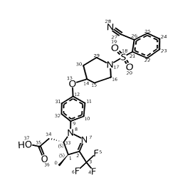 C[C@@H]1C(C(F)(F)F)=NN(c2ccc(OC3CCN(S(=O)(=O)c4ccccc4C#N)CC3)cc2)[C@H]1CC(=O)O